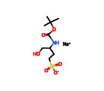 CC(C)(C)OC(=O)NC(CO)CCS(=O)(=O)[O-].[Na+]